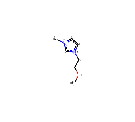 CCCOCCn1cc[n+](C(C)CC)c1